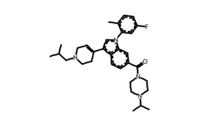 Cc1ccc(F)cc1-n1cc(C2=CCN(CC(C)C)CC2)c2ccc(C(=O)N3CCN(C(C)C)CC3)cc21